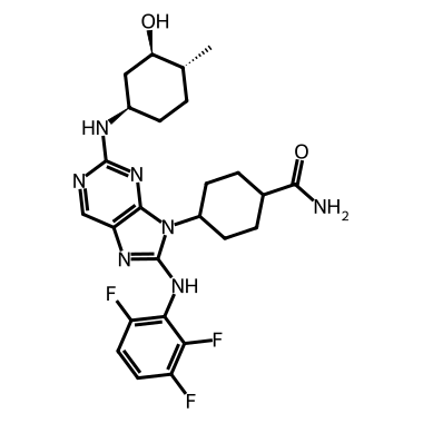 C[C@@H]1CC[C@@H](Nc2ncc3nc(Nc4c(F)ccc(F)c4F)n(C4CCC(C(N)=O)CC4)c3n2)C[C@H]1O